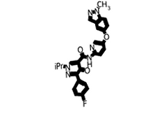 CC(C)n1cc(C(=O)Nc2ccc(Oc3ccc4c(cnn4C)c3)cn2)c(=O)c(-c2ccc(F)cc2)n1